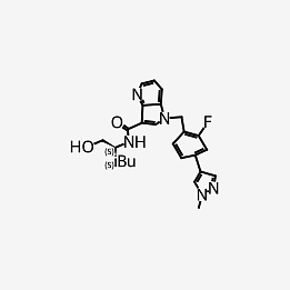 CC[C@H](C)[C@@H](CO)NC(=O)c1cn(Cc2ccc(-c3cnn(C)c3)cc2F)c2cccnc12